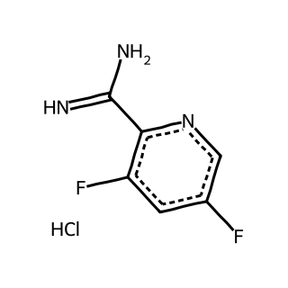 Cl.N=C(N)c1ncc(F)cc1F